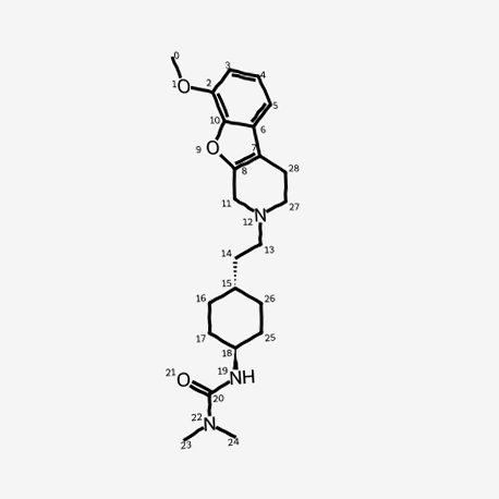 COc1cccc2c3c(oc12)CN(CC[C@H]1CC[C@H](NC(=O)N(C)C)CC1)CC3